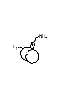 CC1CCCC2CCCCC[C@H](CCC2)C(CCCN)C1